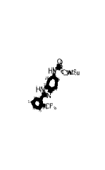 CC(C)(C)OC(=O)NC1CCc2nc(-c3ccccc3C(F)(F)F)[nH]c2C1